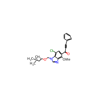 COc1c(C(=O)C#Cc2ccccc2)cc(Cl)c2c1ncn2COCC[Si](C)(C)C